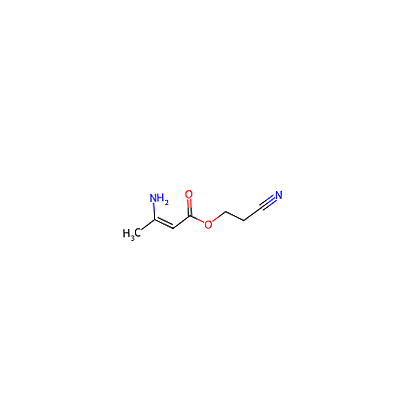 CC(N)=CC(=O)OCCC#N